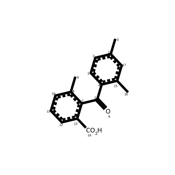 Cc1ccc(C(=O)c2c(C)cccc2C(=O)O)c(C)c1